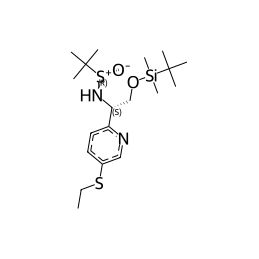 CCSc1ccc([C@@H](CO[Si](C)(C)C(C)(C)C)N[S@@+]([O-])C(C)(C)C)nc1